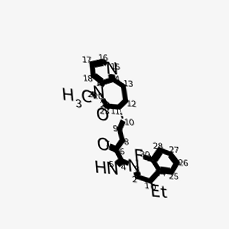 CC[C@H](/C=N/C(=N)C(=O)CCC[C@H]1CCc2ncccc2N(C)C1=O)c1ccccc1F